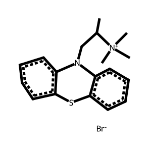 CC(CN1c2ccccc2Sc2ccccc21)[N+](C)(C)C.[Br-]